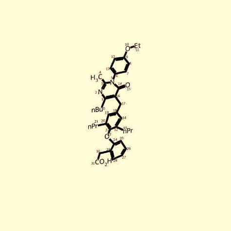 CCCCc1nc(C)n(-c2ccc(OCC)cc2)c(=O)c1Cc1cc(CCC)c(Oc2ccccc2CC(=O)O)c(CCC)c1